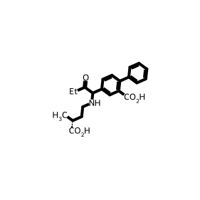 CCC(=O)C(NCC[C@@H](C)C(=O)O)c1ccc(-c2ccccc2)c(C(=O)O)c1